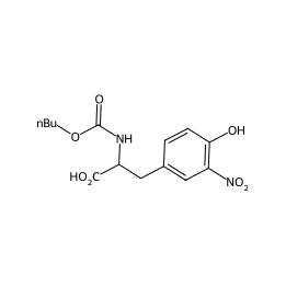 CCCCOC(=O)NC(Cc1ccc(O)c([N+](=O)[O-])c1)C(=O)O